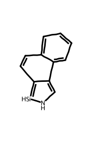 c1ccc2c(c1)ccc1[siH][nH]cc12